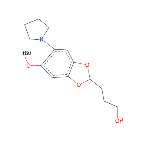 CC(C)(C)Oc1cc2c(cc1N1CCCC1)OC(CCCO)O2